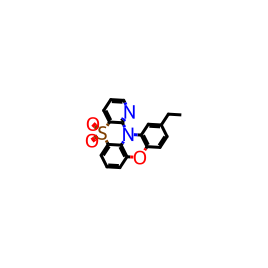 CCc1ccc2c(c1)N1c3ncccc3S(=O)(=O)c3cccc(c31)O2